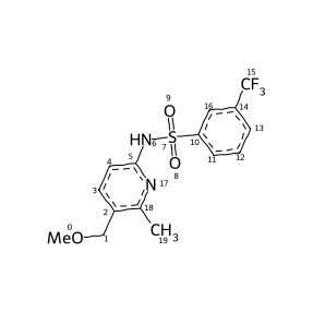 COCc1ccc(NS(=O)(=O)c2cccc(C(F)(F)F)c2)nc1C